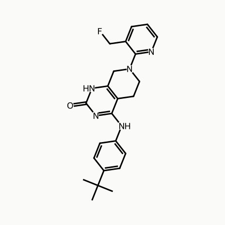 CC(C)(C)c1ccc(Nc2nc(=O)[nH]c3c2CCN(c2ncccc2CF)C3)cc1